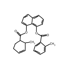 Cc1ccccc1C(=O)Oc1cccc2cccc(OC(=O)C3CCC=CC3C)c12